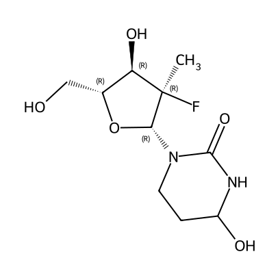 C[C@@]1(F)[C@H](O)[C@@H](CO)O[C@H]1N1CCC(O)NC1=O